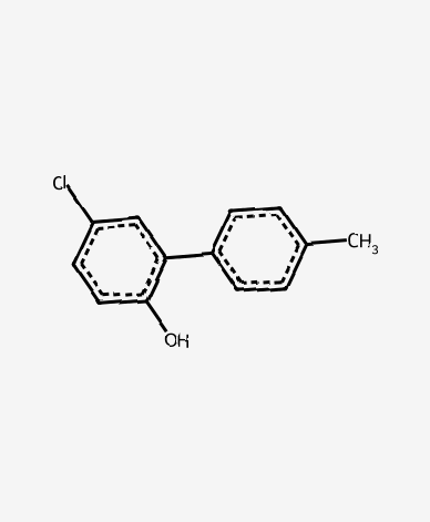 Cc1ccc(-c2cc(Cl)ccc2O)cc1